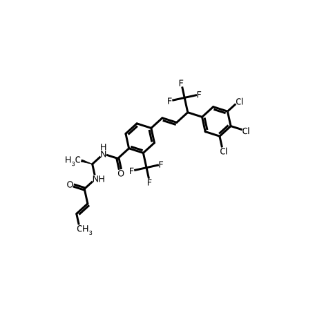 C/C=C/C(=O)N[C@@H](C)NC(=O)c1ccc(/C=C/C(c2cc(Cl)c(Cl)c(Cl)c2)C(F)(F)F)cc1C(F)(F)F